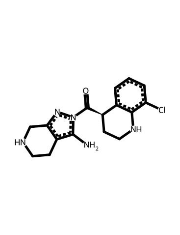 Nc1c2c(nn1C(=O)[C@@H]1CCNc3c(Cl)cccc31)CNCC2